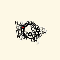 CO[C@H]1/C=C/O[C@@]2(C)Oc3c(C)c(O)c4c(c3C2=O)/C(=N/c2cc(Cl)c(Br)cc2O)C=C(NC(=O)/C(C)=C\C=C\[C@H](C)[C@H](O)[C@@H](C)[C@@H](O)[C@@H](C)[C@H](OC(C)=O)[C@@H]1C)C4=O